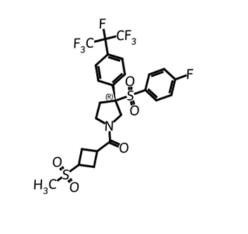 CS(=O)(=O)C1CC(C(=O)N2CC[C@](c3ccc(C(F)(C(F)(F)F)C(F)(F)F)cc3)(S(=O)(=O)c3ccc(F)cc3)C2)C1